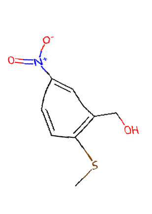 CSc1ccc([N+](=O)[O-])cc1CO